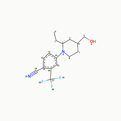 CCC1CC(CO)CCN1c1ccc(C#N)c(C(F)(F)F)c1